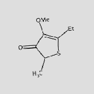 CCC1=C(OC)C(=O)C(C)S1